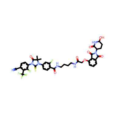 CC1(C)C(=O)N(c2ccc(C#N)c(C(F)(F)F)c2F)C(=S)N1c1ccc(C(=O)NCCCCNC(=O)COc2cccc3c2C(=O)N(C2CCC(O)NC2=O)C3=O)c(F)c1